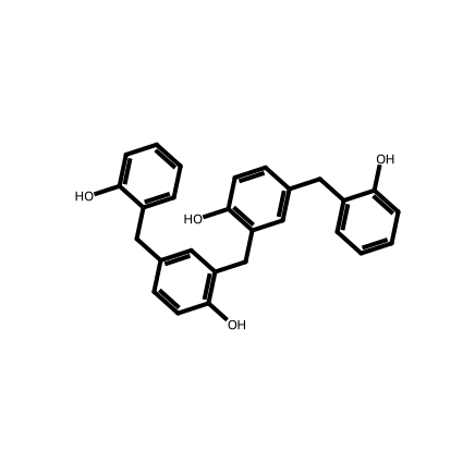 Oc1ccccc1Cc1ccc(O)c(Cc2cc(Cc3ccccc3O)ccc2O)c1